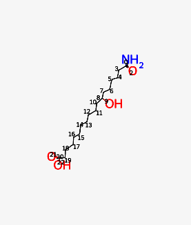 NC(=O)CCCCCC(O)CCCCCCCCCCC(=O)O